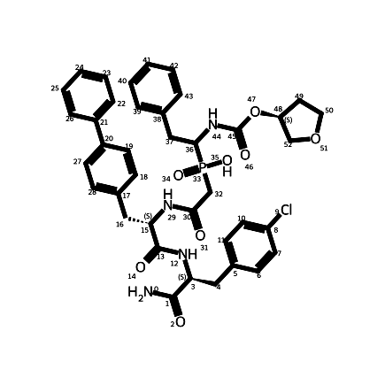 NC(=O)[C@H](Cc1ccc(Cl)cc1)NC(=O)[C@H](Cc1ccc(-c2ccccc2)cc1)NC(=O)CP(=O)(O)C(Cc1ccccc1)NC(=O)O[C@H]1CCOC1